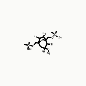 [2H]OC1([2H])CC2(CO[Si](C)(C)C(C)(C)C)OC(CO[Si](C)(C)C(C)(C)C)(C([2H])C2[2H])C1[2H]